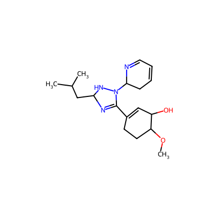 COC1CCC(C2=NC(CC(C)C)NN2C2CC=CC=N2)=CC1O